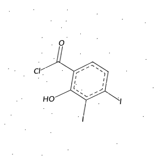 O=C(Cl)c1ccc(I)c(I)c1O